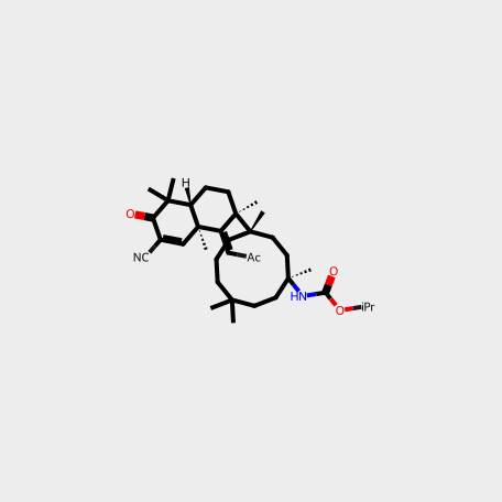 CC(=O)/C=C1/[C@@]2(C)C=C(C#N)C(=O)C(C)(C)[C@@H]2CC[C@@]1(C)[C@@]1(C)CCCC(C)(C)CC[C@](C)(NC(=O)OC(C)C)CC1